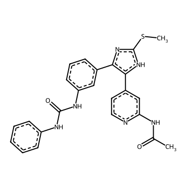 CSc1nc(-c2cccc(NC(=O)Nc3ccccc3)c2)c(-c2ccnc(NC(C)=O)c2)[nH]1